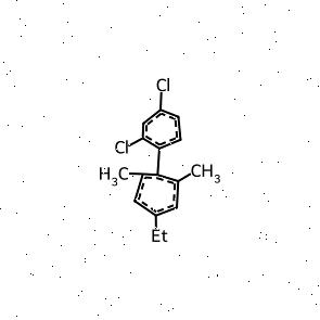 CCc1cc(C)c(-c2ccc(Cl)cc2Cl)c(C)c1